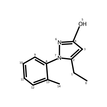 CCc1cc(O)nn1-c1ccccc1C